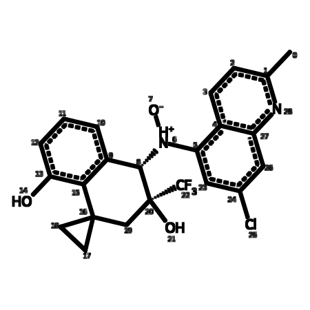 Cc1ccc2c([NH+]([O-])[C@H]3c4cccc(O)c4C4(CC4)C[C@@]3(O)C(F)(F)F)cc(Cl)cc2n1